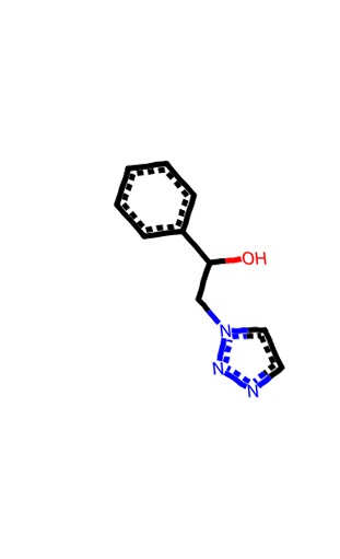 OC(Cn1ccnn1)c1ccccc1